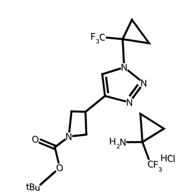 CC(C)(C)OC(=O)N1CC(c2cn(C3(C(F)(F)F)CC3)nn2)C1.Cl.NC1(C(F)(F)F)CC1